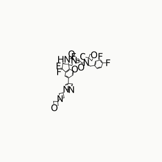 O=C1N[C@]2(CC(F)(F)c3cc(-c4cnn(C5CN(C6COC6)C5)c4)ccc32)C(=O)N1CC(=O)N(Cc1ccc(F)c(F)c1)C1(C(F)(F)F)COC1